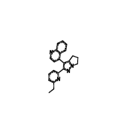 CCc1cccc(-c2nn3c(c2-c2ccnc4ccccc24)CCC3)n1